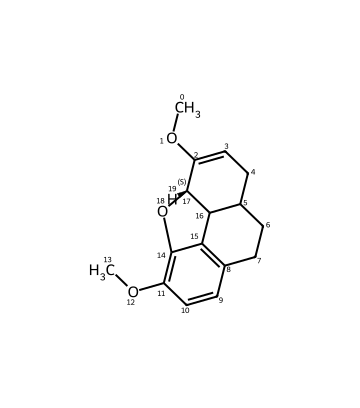 COC1=CCC2CCc3ccc(OC)c4c3C2[C@@H]1O4